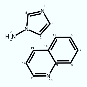 Nn1ccnc1.c1ccc2ncccc2c1